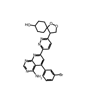 Nc1ncnc2nc(-c3ccc(C4COOC45CCC(O)CC5)nn3)cc(-c3cccc(Br)c3)c12